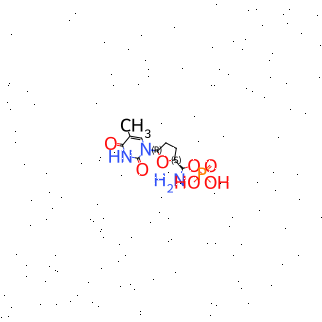 Cc1cn([C@H]2CC[C@@H](C(N)OP(=O)(O)O)O2)c(=O)[nH]c1=O